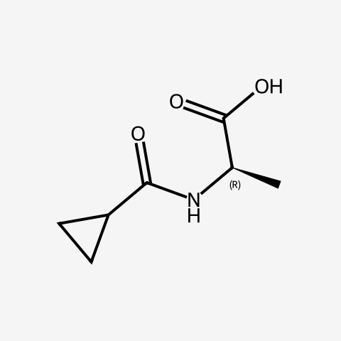 C[C@@H](NC(=O)C1CC1)C(=O)O